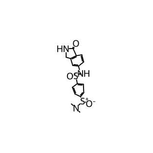 CN(C)[S+]([O-])c1ccc([S+]([O-])Nc2ccc3c(c2)CNC3=O)cc1